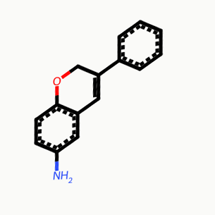 Nc1ccc2c(c1)C=C(c1ccccc1)CO2